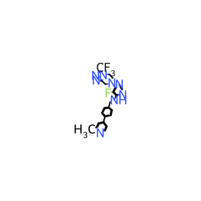 Cc1cc(-c2ccc(CNc3ncnc(N4CCn5c(nnc5C(F)(F)F)C4)c3F)cc2)ccn1